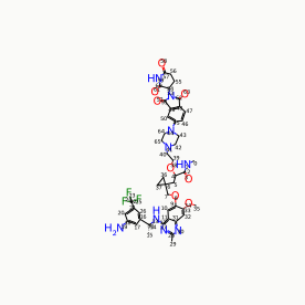 CNC(=O)C(CC1(COc2cc3c(N[C@H](C)c4cc(N)cc(C(F)(F)F)c4)nc(C)nc3cc2OC)CC1)OCCN1CCN(c2ccc3c(c2)C(=O)N(C2CCC(=O)NC2=O)C3=O)CC1